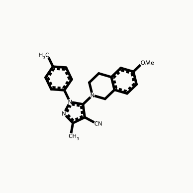 COc1ccc2c(c1)CCN(c1c(C#N)c(C)nn1-c1ccc(C)cc1)C2